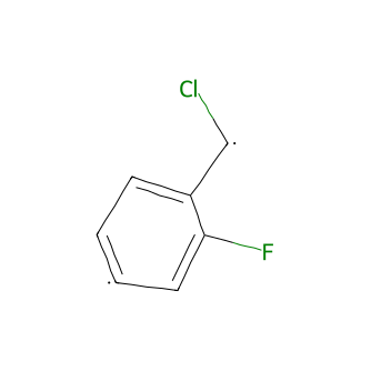 Fc1c[c]ccc1[CH]Cl